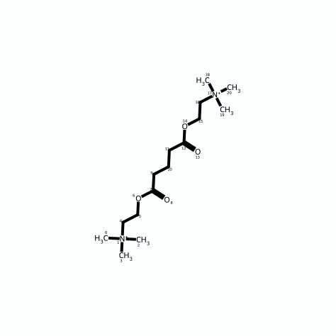 C[N+](C)(C)CCOC(=O)CCCC(=O)OCC[N+](C)(C)C